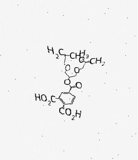 C=C(C)COCC(COCC(=C)C)OC(=O)c1ccc(C(=O)O)c(C(=O)O)c1